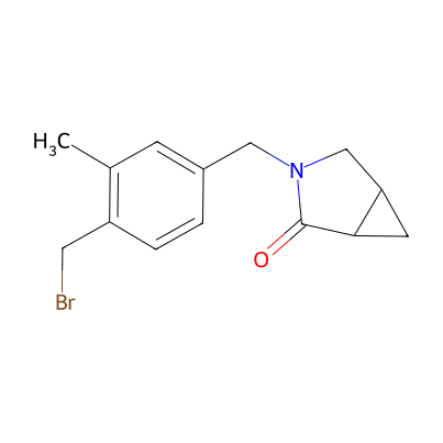 Cc1cc(CN2CC3CC3C2=O)ccc1CBr